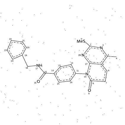 CSc1nc(C)c2ccc(=O)n(-c3ccc(C(=O)NCc4ccccc4)cc3)c2n1